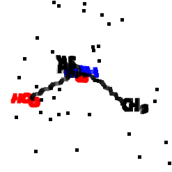 CCCCCCCCCCCC(=O)N[C@H](CC(C)C)C(=O)NCCCCCCCCCCC(=O)O